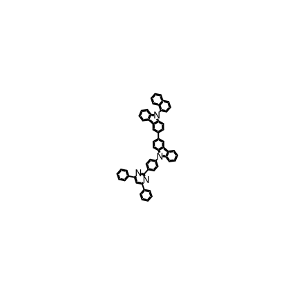 c1ccc(-c2cc(-c3ccccc3)nc(-c3ccc(-n4c5ccccc5c5cc(-c6ccc7c(c6)c6ccccc6n7-c6cccc7ccccc67)ccc54)cc3)n2)cc1